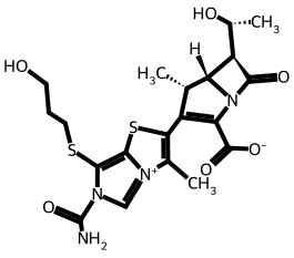 Cc1c(C2=C(C(=O)[O-])N3C(=O)[C@H]([C@@H](C)O)[C@H]3[C@H]2C)sc2c(SCCCO)n(C(N)=O)c[n+]12